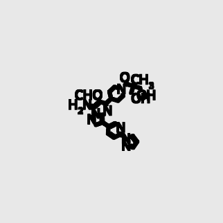 CC(CO)(CO)C(=O)N1CCC(c2nc3c(-c4ccc(-n5cccn5)nc4)cnn3c(N)c2C=O)CC1